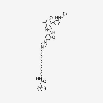 COc1cc(N2CCN(CCCCCCCCCCCCNC(=O)CC34CC5CC(CC(C5)C3)C4)CC2)ccc1Nc1ncc2c(C)cc(=O)n(-c3cccc(NCC4CCC4)c3)c2n1